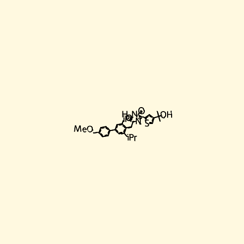 COCc1ccc(-c2cc(C(C)C)c(CC(=O)N=S(N)(=O)c3cc(C(C)(C)O)cs3)c(C(C)C)c2)cc1